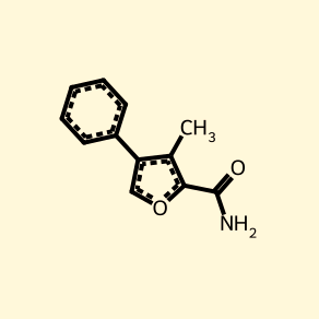 Cc1c(-c2ccccc2)coc1C(N)=O